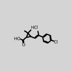 CC(=CC1C(C(=O)O)C1(C)C)c1ccc(Cl)cc1.Cl